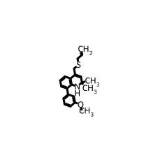 C=CCSCC1=CC(C)(C)Nc2c1cccc2-c1cccc(OC)c1